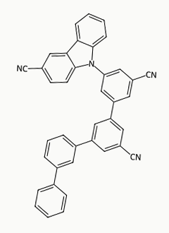 N#Cc1cc(-c2cccc(-c3ccccc3)c2)cc(-c2cc(C#N)cc(-n3c4ccccc4c4cc(C#N)ccc43)c2)c1